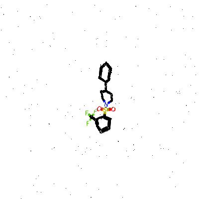 O=S(=O)(c1ccccc1C(F)(F)F)N1CCC(C2C=CCC=C2)CC1